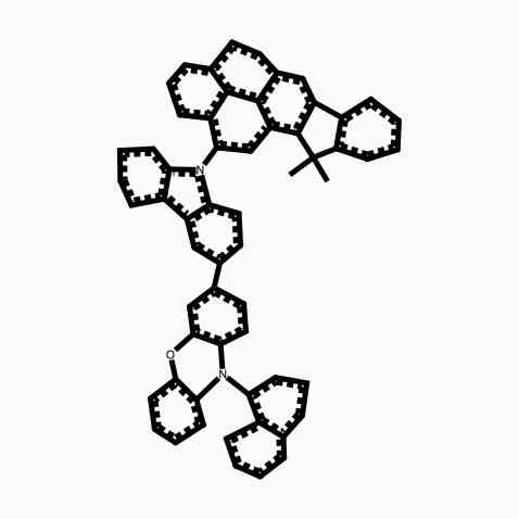 CC1(C)c2ccccc2-c2cc3ccc4cccc5c(-n6c7ccccc7c7cc(-c8ccc9c(c8)Oc8ccccc8N9c8cccc9ccccc89)ccc76)cc(c21)c3c45